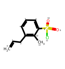 C=CCc1cccc(S(=O)(=O)Cl)c1C